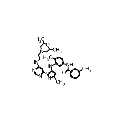 Cc1cccc(C(=O)Nc2ccc(C)c(Nc3cc(C)nn3-c3cc(NCCN4CC(C)OC(C)C4)ncn3)c2)c1